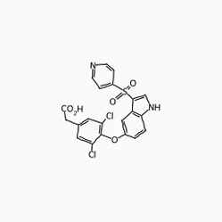 O=C(O)Cc1cc(Cl)c(Oc2ccc3[nH]cc(S(=O)(=O)c4ccncc4)c3c2)c(Cl)c1